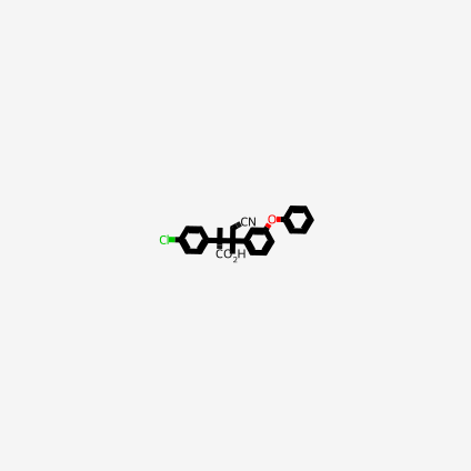 CC(CC#N)(c1cccc(Oc2ccccc2)c1)C(C)(C(=O)O)c1ccc(Cl)cc1